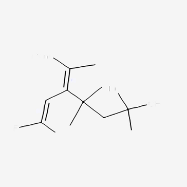 CCCC(C)/C(C)=C(\C=C(/C)F)C(C)(C)CC(C)(O)CC